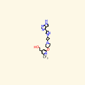 OCCc1cc(OC2CCN(C3CC(n4cc(-c5ncnc6[nH]ccc56)cn4)C3)CC2)nc(C(F)(F)F)c1